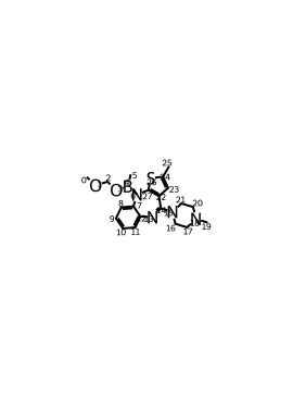 COCOB(C)N1c2ccccc2N=C(N2CCN(C)CC2)c2cc(C)sc21